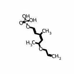 C=CCOC(C)C=C(C)C=COP(=O)(O)O